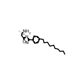 CCCCCCCCCCc1ccc(-c2noc(C[C@H](C)N)n2)cc1